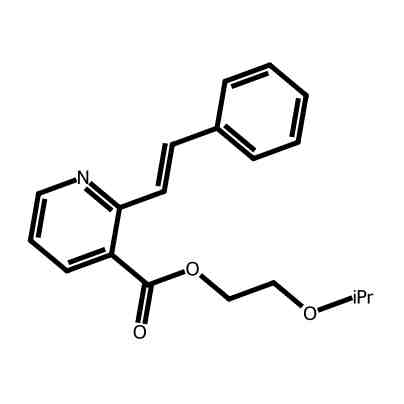 CC(C)OCCOC(=O)c1cccnc1C=[C]c1ccccc1